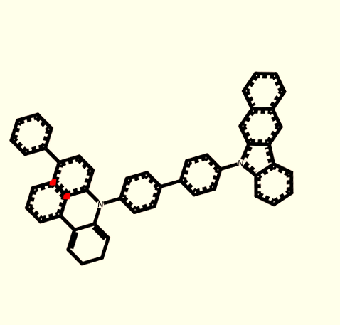 C1=C(c2ccccc2)C(N(c2ccc(-c3ccccc3)cc2)c2ccc(-c3ccc(-n4c5ccccc5c5cc6ccccc6cc54)cc3)cc2)=CCC1